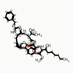 CCCCCCC(O)[C@H](NC(=O)c1nc2oc1[C@@]13c4ccccc4NC1Oc1ccc(cc13)C[C@H](NC(=O)OCc1ccccc1)C(=O)N[C@H]2C(C)C)C(=O)OC